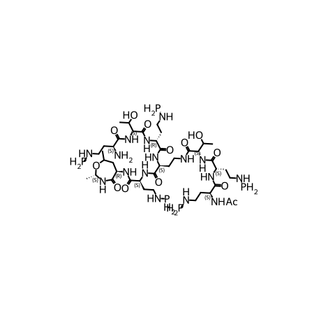 CC(=O)N[C@@H](CCNP)C(=O)N[C@@H](CCNP)C(=O)N[C@H](C(=O)NCC[C@H](NC(=O)[C@@H](CCNP)NC(=O)[C@@H](NC(=O)[C@@H](N)CCNP)C(C)O)C(=O)N[C@@H](CCNP)C(=O)N[C@@H]1CC(C)O[C@@H](C)NC1=O)C(C)O